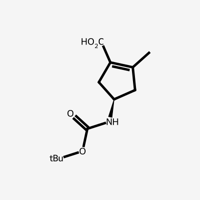 CC1=C(C(=O)O)C[C@H](NC(=O)OC(C)(C)C)C1